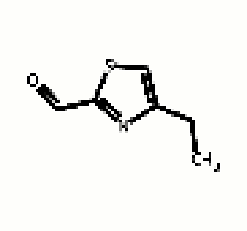 CCc1csc(C=O)n1